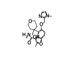 Cc1oc2ccc(OCc3nccn3C)c(C3(CO)CCOCC3)c2c1C(N)=O